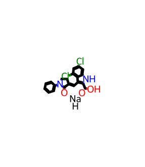 O=C(O)c1[nH]c2cc(Cl)cc(Cl)c2c1C=C1CCN(c2ccccc2)C1=O.[NaH]